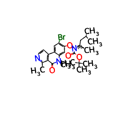 Cc1nccc2c1c(=O)n(C)c1cc(ON(C(=O)OC(C)(C)C)[C@H](C)CC(C)C)c(Br)cc21